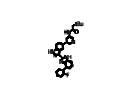 CC(C)(C)CC(=O)Nc1cncc(-c2ccc3[nH]nc(-c4nc5c(-c6ccccc6F)cccc5[nH]4)c3c2)c1